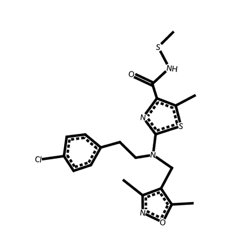 CSNC(=O)c1nc(N(CCc2ccc(Cl)cc2)Cc2c(C)noc2C)sc1C